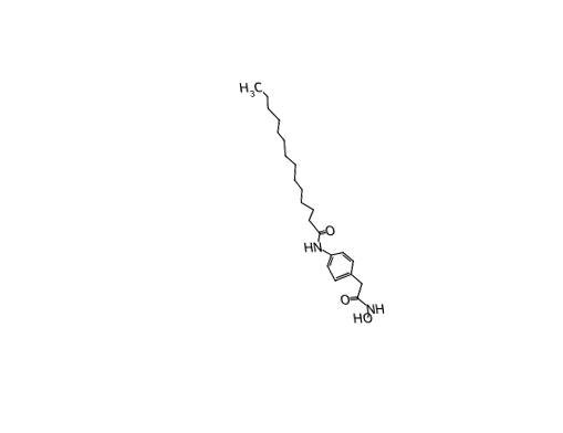 CCCCCCCCCCCCCC(=O)Nc1ccc(CC(=O)NO)cc1